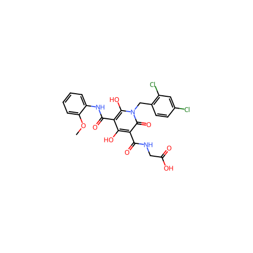 COc1ccccc1NC(=O)c1c(O)c(C(=O)NCC(=O)O)c(=O)n(Cc2ccc(Cl)cc2Cl)c1O